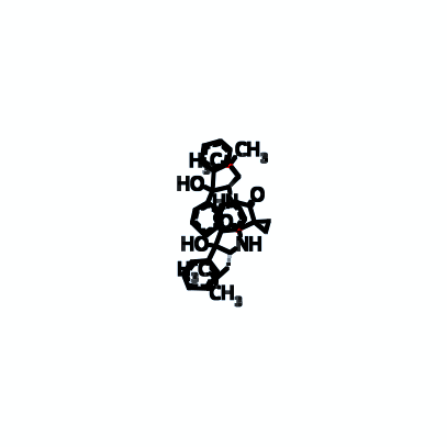 CC(C)C[C@@H](NC(=O)C1(C(=O)N[C@H](CC(C)C)C(O)(c2ccccc2)c2ccccc2)CC1)C(O)(c1ccccc1)c1ccccc1